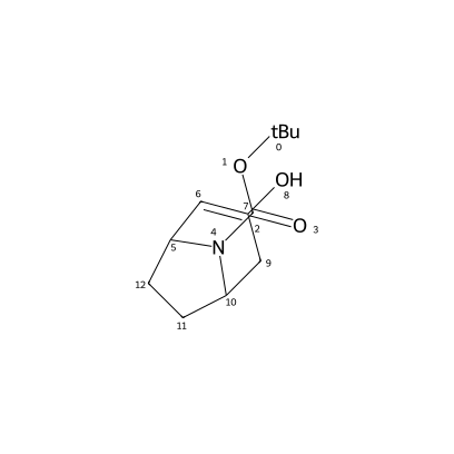 CC(C)(C)OC(=O)N1C2C=C(O)CC1CC2